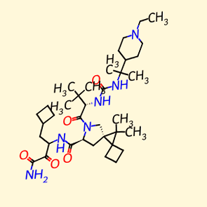 CCN1CCC(C(C)(C)NC(=O)N[C@H](C(=O)N2C[C@]3(C[C@H]2C(=O)NC(CC2CCC2)C(=O)C(N)=O)C(C)(C)C32CCC2)C(C)(C)C)CC1